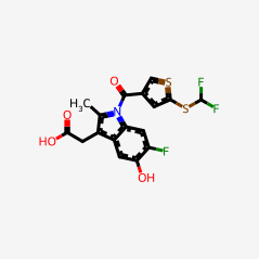 Cc1c(CC(=O)O)c2cc(O)c(F)cc2n1C(=O)c1csc(SC(F)F)c1